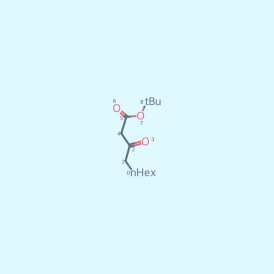 CCCCCCCC(=O)CC(=O)OC(C)(C)C